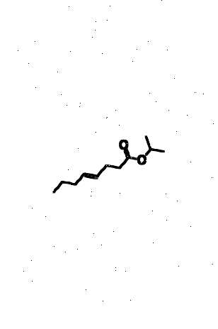 CCCC=CCCC(=O)OC(C)C